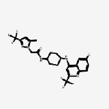 Cc1cc(C(F)(F)F)nn1CC(=O)NC1CCC(Nc2cc(C(F)(F)F)nc3ccc(Cl)cc23)CC1